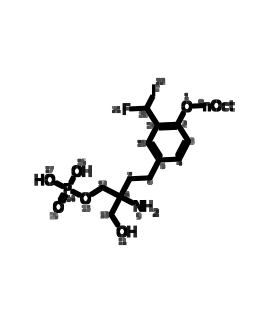 CCCCCCCCOc1ccc(CCC(N)(CO)COP(=O)(O)O)cc1C(F)F